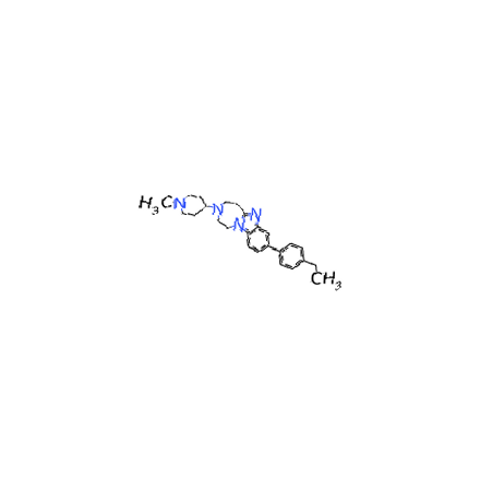 CCc1ccc(-c2ccc3c(c2)nc2n3CCN(C3CCN(C)CC3)CC2)cc1